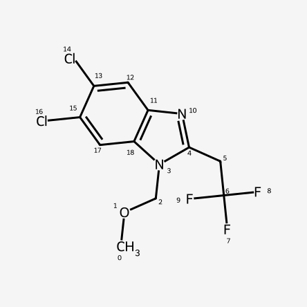 COCn1c(CC(F)(F)F)nc2cc(Cl)c(Cl)cc21